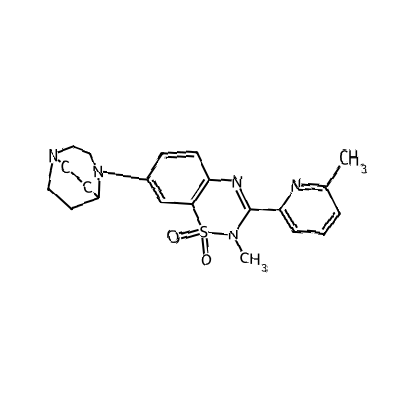 Cc1cccc(C2=Nc3ccc(N4CCN5CCC4CC5)cc3S(=O)(=O)N2C)n1